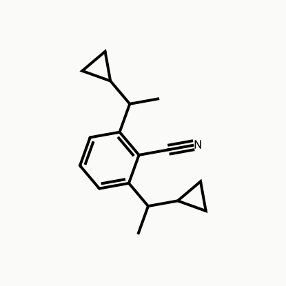 CC(c1cccc(C(C)C2CC2)c1C#N)C1CC1